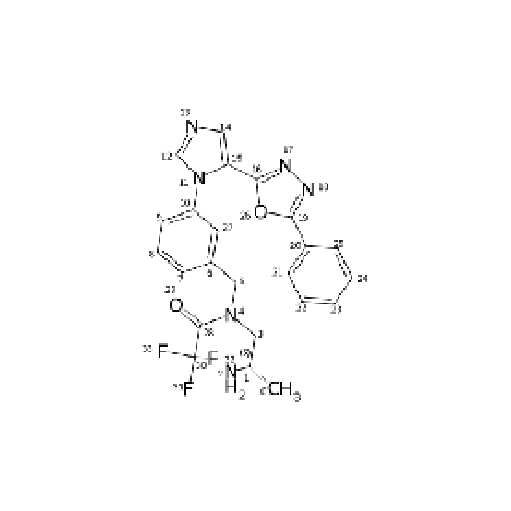 C[C@H](N)CN(Cc1cccc(-n2cncc2-c2nnc(-c3ccccc3)o2)c1)C(=O)C(F)(F)F